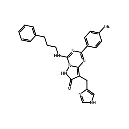 CC(C)(C)c1ccc(-c2nc(NCCCc3ccccc3)n3[nH]c(=O)c(Cc4c[nH]cn4)c3n2)cc1